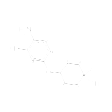 CC1(C)CCC(Oc2ccc(N)c(F)c2)CC1